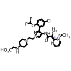 C=NN1C=CC=N/C1=C(/C)C(=O)Nc1cn(CCN2CCC(NCC(=O)O)CC2)nc1-c1cc(Cl)ccc1OC(F)F